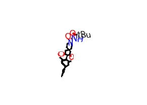 CC#Cc1cc(C)c(C2C(=O)CC3(CCN(C(=O)NC(=O)C(C)(C)C)CC3)CC2=O)c(C)c1